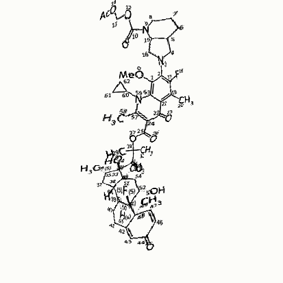 COc1c(N2CC3CCCN(C(=O)OCOC(C)=O)C3C2)c(F)c(C)c2c(=O)c(C(=O)OC(C)(C)C(=O)[C@@]3(O)[C@@H](C)C[C@H]4[C@@H]5CCC6=CC(=O)C=C[C@]6(C)[C@@]5(F)[C@@H](O)C[C@@]43C)c(C)n(C3CC3)c12